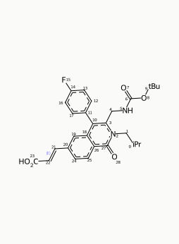 CC(C)Cn1c(CNC(=O)OC(C)(C)C)c(-c2ccc(F)cc2)c2cc(/C=C/C(=O)O)ccc2c1=O